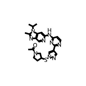 CC(=O)N1CCC(Sn2cc(-c3nccc(Nc4cc5c(cn4)nc(C)n5C(C)C)n3)cn2)C1